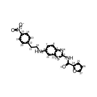 O=C(Nc1nc2ccc(NCCc3ccc([N+](=O)[O-])cc3)cc2s1)c1ccco1